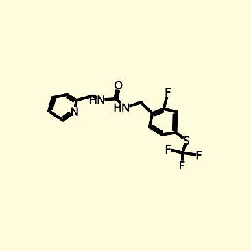 O=C(NCc1ccccn1)NCc1ccc(SC(F)(F)F)cc1F